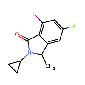 CC1c2cc(F)cc(I)c2C(=O)N1C1CC1